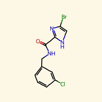 O=C(NCc1cccc(Cl)c1)c1nc(Br)c[nH]1